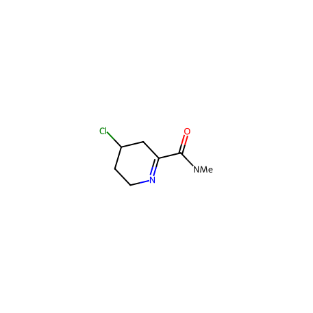 CNC(=O)C1=NCCC(Cl)C1